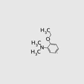 CCOc1cc[c]cc1N(C)C